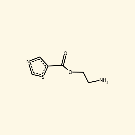 NCCOC(=O)c1cncs1